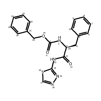 O=C(N[C@@H](Cc1ccccc1)C(=O)Nc1nncs1)OCc1ccccc1